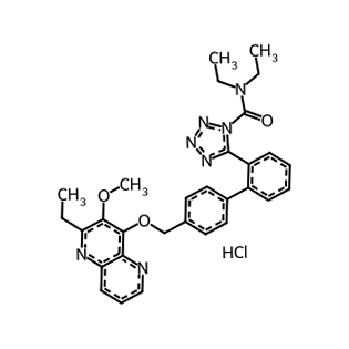 CCc1nc2cccnc2c(OCc2ccc(-c3ccccc3-c3nnnn3C(=O)N(CC)CC)cc2)c1OC.Cl